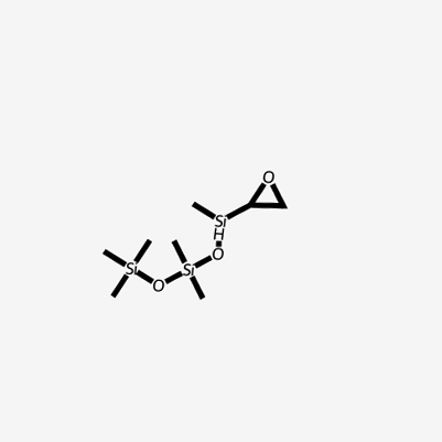 C[SiH](O[Si](C)(C)O[Si](C)(C)C)C1CO1